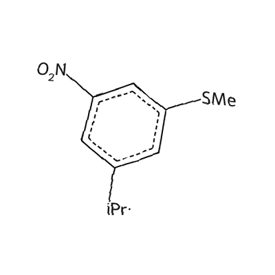 CSc1cc([C](C)C)cc([N+](=O)[O-])c1